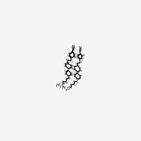 CCCCCC[C@H]1CC[C@H](C2CCC(CCc3ccc(C#N)cc3)CC2)CC1.CCCCC[C@H]1CC[C@H](C2CCC(CCc3ccc(C#N)cc3)CC2)CC1